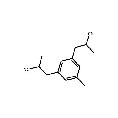 Cc1cc(CC(C)C#N)cc(CC(C)C#N)c1